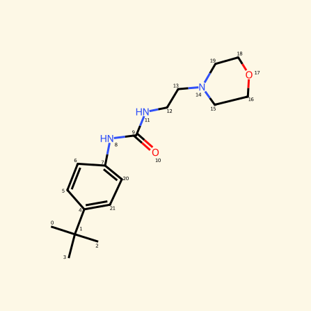 CC(C)(C)c1ccc(NC(=O)NCCN2CCOCC2)cc1